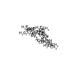 CCCCOP(=O)(OCCCC)C(OC[C@H]1O[C@@H](n2cnc3c(NC(=O)OC(C)(C)C)nc(Cl)nc32)[C@@H]2OC(C)(C)O[C@@H]21)C(=O)NNC(C)=O